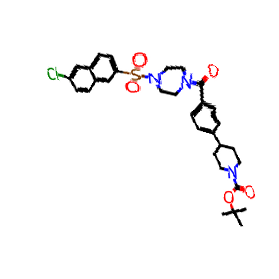 CC(C)(C)OC(=O)N1CCC(c2ccc(C(=O)N3CCN(S(=O)(=O)c4ccc5cc(Cl)ccc5c4)CC3)cc2)CC1